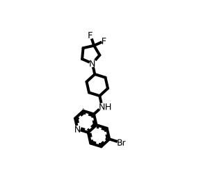 FC1(F)CCN(C2CCC(Nc3[c]cnc4ccc(Br)cc34)CC2)C1